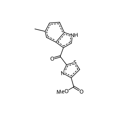 COC(=O)c1csc(C(=O)c2c[nH]c3ccc(C)cc23)n1